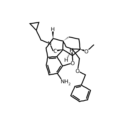 CO[C@]12CC[C@@]3(C[C@@H]1COCc1ccccc1)[C@H]1Cc4ccc(N)c5c4[C@@]3(CCN1CC1CC1)[C@H]2O5